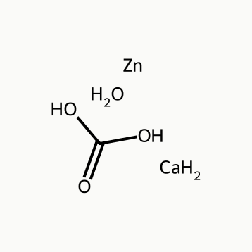 O.O=C(O)O.[CaH2].[Zn]